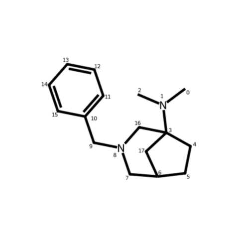 CN(C)C12CCC(CN(Cc3ccccc3)C1)C2